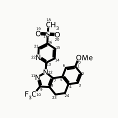 COc1ccc2c(c1)-c1c(c(C(F)(F)F)nn1-c1ccc(S(C)(=O)=O)cn1)CC2